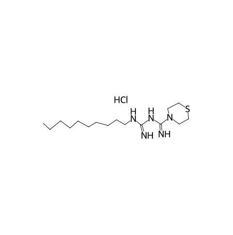 CCCCCCCCCCNC(=N)NC(=N)N1CCSCC1.Cl